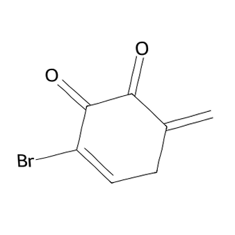 C=C1CC=C(Br)C(=O)C1=O